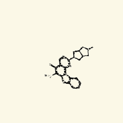 CN1CC2CC(c3ncc4c(=O)c(C(=O)O)c5sc6ccccc6n5c4n3)CC2C1